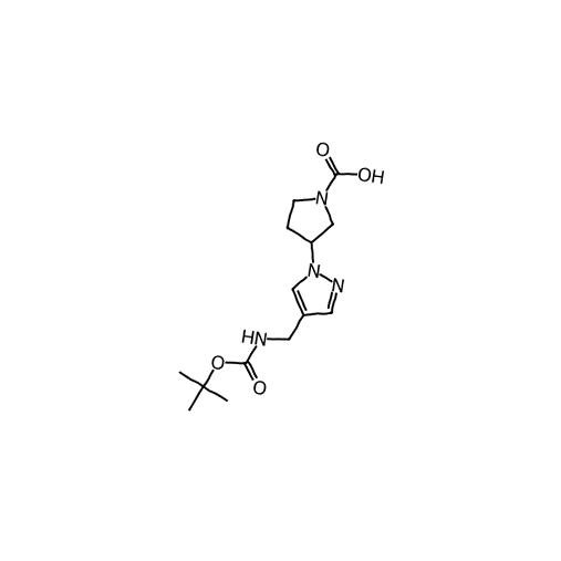 CC(C)(C)OC(=O)NCc1cnn(C2CCN(C(=O)O)C2)c1